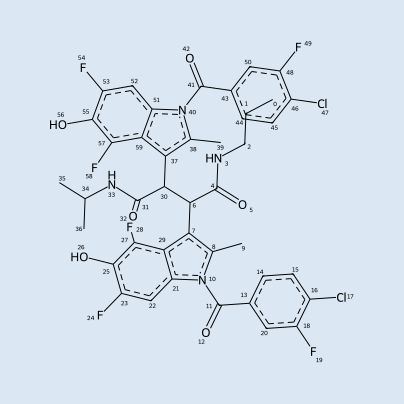 CCCNC(=O)C(c1c(C)n(C(=O)c2ccc(Cl)c(F)c2)c2cc(F)c(O)c(F)c12)C(C(=O)NC(C)C)c1c(C)n(C(=O)c2ccc(Cl)c(F)c2)c2cc(F)c(O)c(F)c12